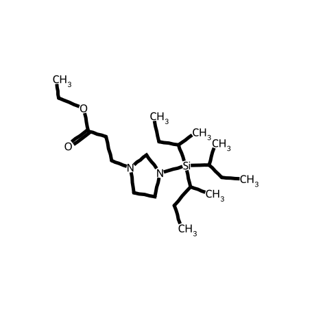 CCOC(=O)CCN1CCN([Si](C(C)CC)(C(C)CC)C(C)CC)C1